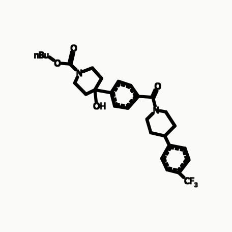 CCCCOC(=O)N1CCC(O)(c2ccc(C(=O)N3CCC(c4ccc(C(F)(F)F)cc4)CC3)cc2)CC1